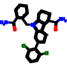 NC(=O)c1ccccc1Cn1c2cc(-c3c(Cl)cccc3Cl)c[c]c2c2c(C(N)=O)cccc21